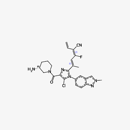 C=C/C(C#N)=C(F)\C=C(/C)c1nc(C(=O)N2CCC[C@@H](N)C2)c(Cl)n1-c1ccc2nn(C)cc2c1